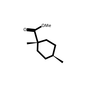 COC(=O)[C@]1(C)CC[C@@H](C)CC1